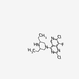 CCC1CN(c2nc(Cl)nc3c(F)c(Cl)ncc23)CC(CC)N1